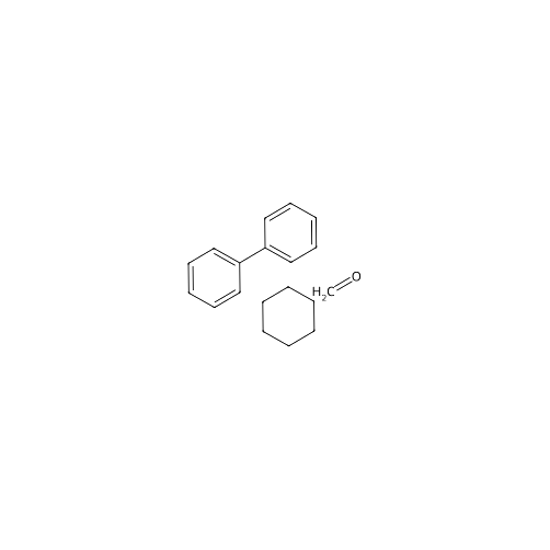 C1CCCCC1.C=O.c1ccc(-c2ccccc2)cc1